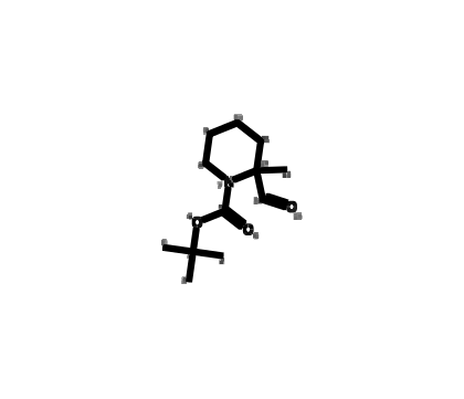 CC(C)(C)OC(=O)N1CCCCC1(C)C=O